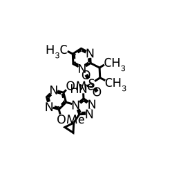 COc1ncnc(OC)c1-n1c(NS(=O)(=O)C(C)C(C)c2ncc(C)cn2)nnc1C1CC1